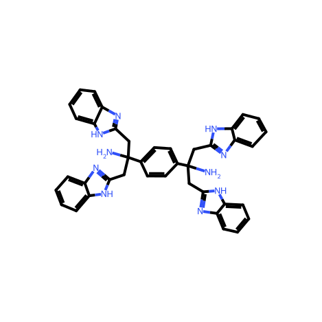 NC(Cc1nc2ccccc2[nH]1)(Cc1nc2ccccc2[nH]1)c1ccc(C(N)(Cc2nc3ccccc3[nH]2)Cc2nc3ccccc3[nH]2)cc1